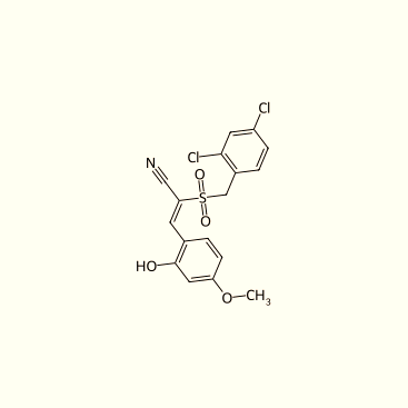 COc1ccc(/C=C(/C#N)S(=O)(=O)Cc2ccc(Cl)cc2Cl)c(O)c1